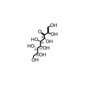 O=C(C(O)=CO)[C@H](O)[C@H](O)[C@@H](O)[C@@H](O)[C@H](O)CO